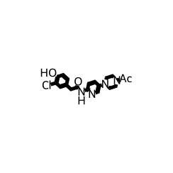 CC(=O)N1CCN(c2ccc(NC(=O)Cc3ccc(O)c(Cl)c3)nc2)CC1